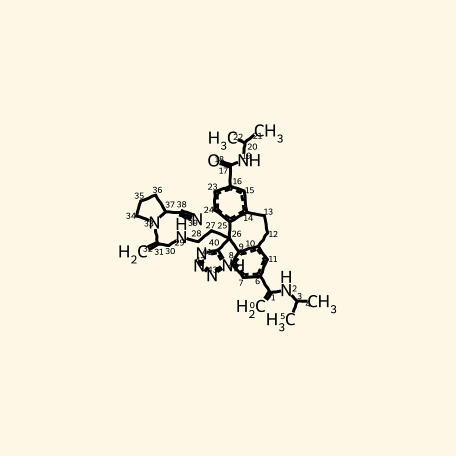 C=C(NC(C)C)c1ccc2c(c1)CCc1cc(C(=O)NC(C)C)ccc1C2(CCNCC(=C)N1CCCC1C#N)c1nnn[nH]1